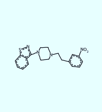 O=[N+]([O-])c1cccc(CCN2CCN(c3nsc4ccccc34)CC2)c1